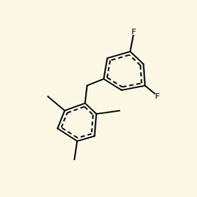 Cc1cc(C)c(Cc2cc(F)cc(F)c2)c(C)c1